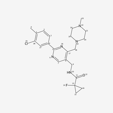 Cc1ccc(-c2ncc(CNC(=O)C3(F)CC3)c(CN3CCN(C)CC3)n2)cc1Cl